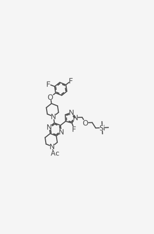 CC(=O)N1CCc2nc(N3CCC(Oc4ccc(F)cc4F)CC3)c(-c3cnn(COCC[Si](C)(C)C)c3F)nc2C1